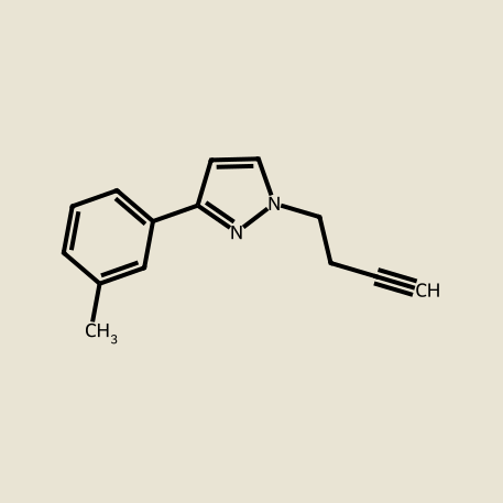 C#CCCn1ccc(-c2cccc(C)c2)n1